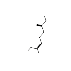 [CH2]CC(=C)CCC=C(C)CC